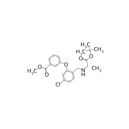 COC(=O)c1cccc(Oc2cc(Cl)ccc2CN[C@@H](C)C(=O)OC(C)(C)C)c1